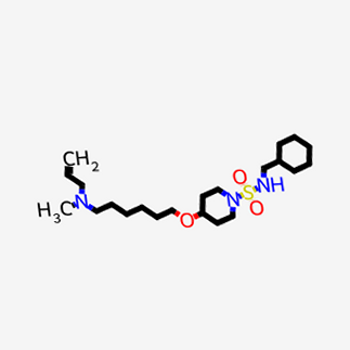 C=CCN(C)CCCCCCOC1CCN(S(=O)(=O)NCC2CCCCC2)CC1